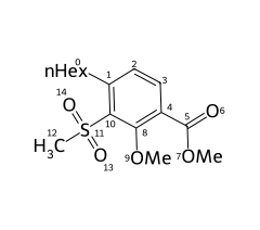 CCCCCCc1ccc(C(=O)OC)c(OC)c1S(C)(=O)=O